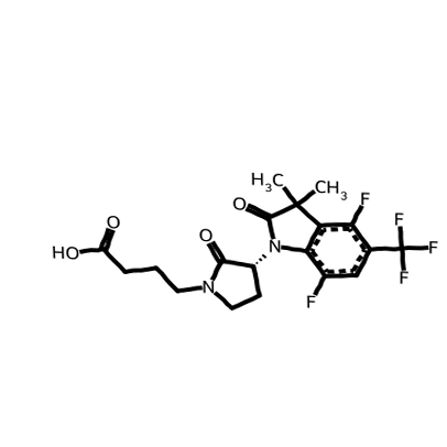 CC1(C)C(=O)N([C@@H]2CCN(CCCC(=O)O)C2=O)c2c(F)cc(C(F)(F)F)c(F)c21